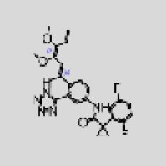 C=C/C(OC)=C(\C=C(/C)c1ccc(NC(=O)C2(c3cc(F)ccc3F)CC2)cc1-c1nnn[nH]1)OC